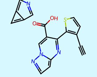 C#Cc1ccsc1-c1nc2ccnn2cc1C(=O)O.c1ncc2cc1-2